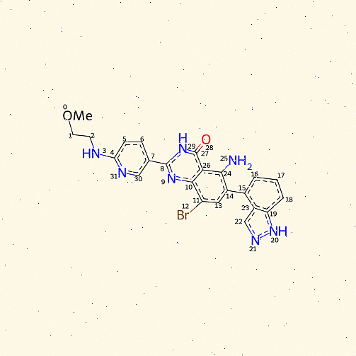 COCCNc1ccc(-c2nc3c(Br)cc(-c4cccc5[nH]ncc45)c(N)c3c(=O)[nH]2)cn1